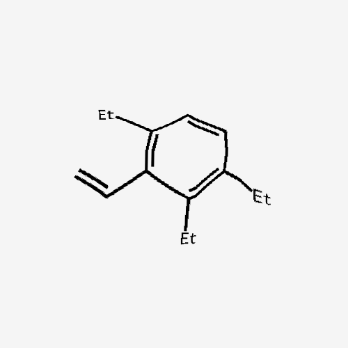 C=Cc1c(CC)ccc(CC)c1CC